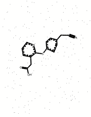 N#CCc1ccc(Sc2ncccc2CC(=O)O)cc1